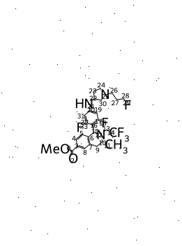 COC(=O)c1ccc2c(c1)C[C@@H](C)N(CC(F)(F)F)[C@@H]2c1c(F)cc(N[C@H]2CCN(CCCF)C2)cc1F